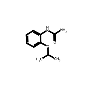 CC(C)Oc1ccccc1NC(N)=O